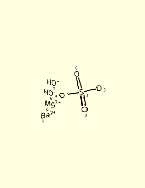 O=S(=O)([O-])[O-].[Ba+2].[Mg+2].[OH-].[OH-]